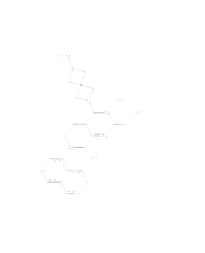 C=N/C(=C1/CCN(c2cccc3cccc(C)c23)C/C1=N/CCC)N1CC2(CC(N)C2)C1